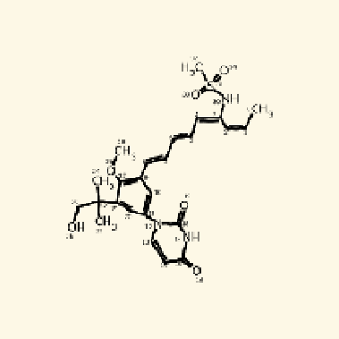 C\C=C/C(=C\C=C\C=C\c1cc(-n2ccc(=O)[nH]c2=O)cc(C(C)(C)CO)c1OC)NS(C)(=O)=O